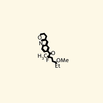 CCC(CCC(C)(F)C(=O)c1ccc2nc3c(cc2c1)CCCO3)OC